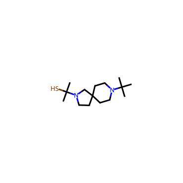 CC(C)(C)N1CCC2(CC1)CCN(C(C)(C)S)C2